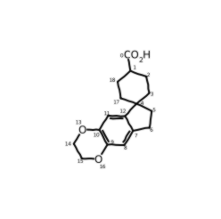 O=C(O)C1CCC2(CCc3cc4c(cc32)OCCO4)CC1